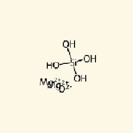 O[Si](O)(O)O.[Mg+2].[Mg+2].[O-2]